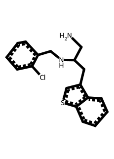 NCC(Cc1csc2ccccc12)NCc1ccccc1Cl